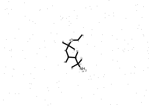 CCOC(C)(C)CC(C)C(C)C(C)(C)N